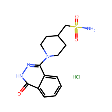 Cl.NS(=O)(=O)CC1CCN(c2n[nH]c(=O)c3ccccc23)CC1